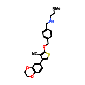 CNCCNCc1ccc(COc2scc(-c3ccc4c(c3)OCCO4)c2C#N)cc1